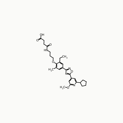 CCc1cc(-c2noc(-c3cc(OC)nc(C4CCCC4)c3)n2)cc(C)c1OCCCNC(=O)CCC(=O)O